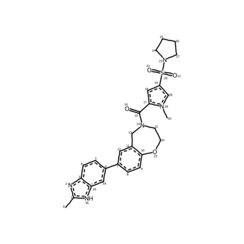 Cc1nc2ccc(-c3ccc4c(c3)CN(C(=O)c3cc(S(=O)(=O)N5CCCC5)cn3C)CCO4)cc2[nH]1